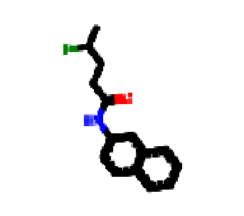 CC(F)CCC(=O)Nc1ccc2ccccc2c1